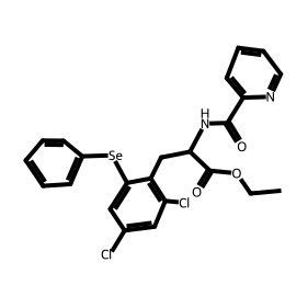 CCOC(=O)C(Cc1c(Cl)cc(Cl)cc1[Se]c1ccccc1)NC(=O)c1ccccn1